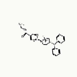 CCOC(=O)c1cnc(N2CC3[C@H]2CN3C(c2ccccc2)c2ccccc2)nc1